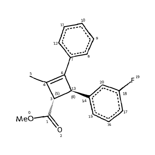 COC(=O)[C@@H]1C(C)=C(c2ccccc2)[C@H]1c1cccc(F)c1